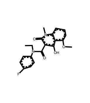 CCN(C(=O)c1c(O)c2c(OC)cccc2n(C)c1=O)c1ccc(F)cc1